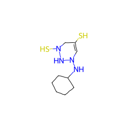 SC1=CN(NC2CCCCC2)NN(S)C1